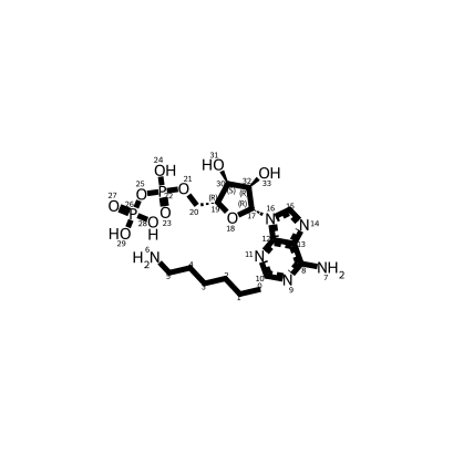 CCCCCCN.Nc1ncnc2c1ncn2[C@@H]1O[C@H](COP(=O)(O)OP(=O)(O)O)[C@@H](O)[C@H]1O